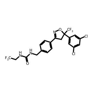 O=C(NCc1ccc(C2=NOC(c3cc(Cl)cc(Cl)c3)(C(F)(F)F)C2)cc1)NCC(F)(F)F